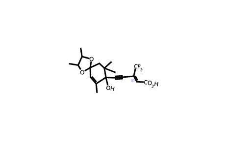 CC1=CC2(CC(C)(C)C1(O)C#C/C(=C/C(=O)O)C(F)(F)F)OC(C)C(C)O2